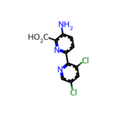 Nc1ccc(-c2ncc(Cl)cc2Cl)nc1C(=O)O